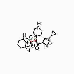 CN(C1CCNCC1)S(=O)(=O)N1[C@@H]2CCC[C@H]1C[C@@H](NC(=O)c1cc(C3CC3)on1)C2